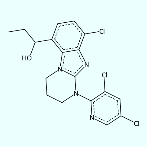 CCC(O)c1ccc(Cl)c2nc3n(c12)CCCN3c1ncc(Cl)cc1Cl